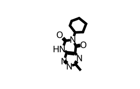 Cc1nnc2[nH]c(=O)n(C3CCCCC3)c(=O)c2n1